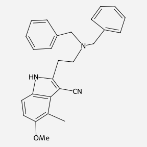 COc1ccc2[nH]c(CCN(Cc3ccccc3)Cc3ccccc3)c(C#N)c2c1C